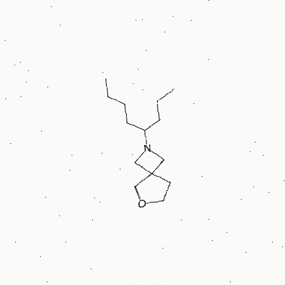 CCCCC(CCC)N1CC2(CCOC2)C1